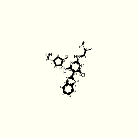 CO[C@@H](C)CNc1nc(Cl)c(-c2nc3ccccc3s2)c(N[C@@H]2C[C@H](CO)C[C@H]2C)n1